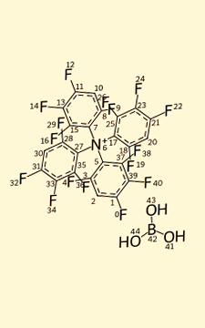 Fc1cc(F)c([N+](c2c(F)cc(F)c(F)c2F)(c2c(F)cc(F)c(F)c2F)c2c(F)cc(F)c(F)c2F)c(F)c1F.OB(O)O